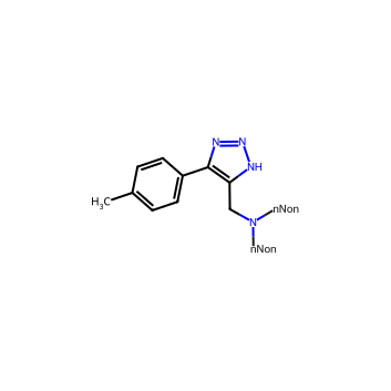 CCCCCCCCCN(CCCCCCCCC)Cc1[nH]nnc1-c1ccc(C)cc1